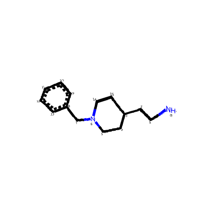 [NH]CCC1CCN(Cc2ccccc2)CC1